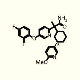 COc1ccc([C@@H]2CCCC(C(C)(C(N)=O)c3ccc(Oc4ccc(F)cc4F)cn3)C2)cn1